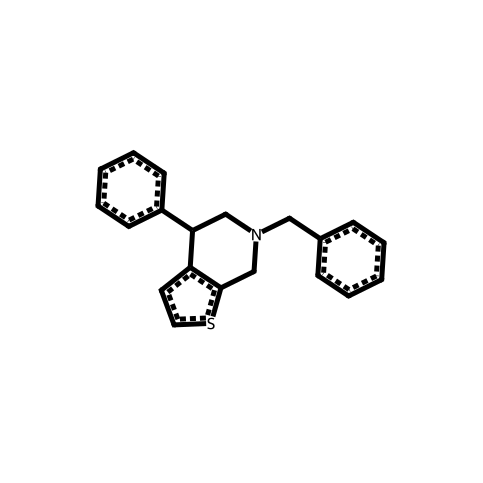 c1ccc(CN2Cc3sccc3C(c3ccccc3)C2)cc1